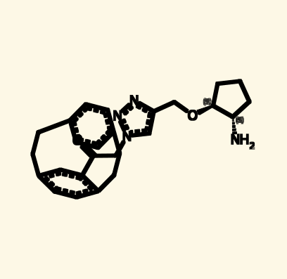 N[C@H]1CCC[C@@H]1OCc1cn(CC(=O)c2cc3ccc2CCc2ccc(cc2)CC3)nn1